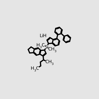 CCCC(C)C1=CC([Si](C)(C)C2C=Cc3c(-c4ccccc4-c4ccccc4)cccc32)c2cc3c(cc21)CCC3.[LiH]